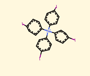 Ic1ccc([N+](c2ccc(I)cc2)(c2ccc(I)cc2)c2ccc(I)cc2)cc1